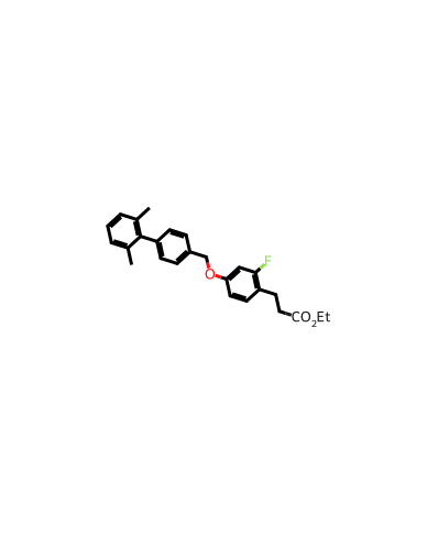 CCOC(=O)CCc1ccc(OCc2ccc(-c3c(C)cccc3C)cc2)cc1F